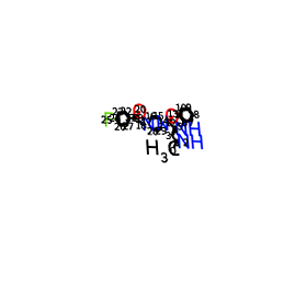 CC(=N)/C=C(\Nc1ccccc1)C(=O)N1CCN(CC(=O)c2ccc(F)cc2)CC1